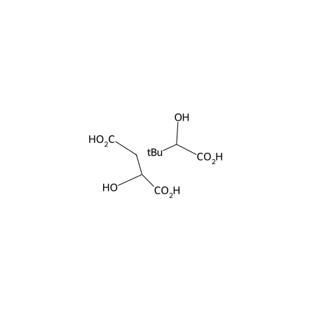 CC(C)(C)C(O)C(=O)O.O=C(O)CC(O)C(=O)O